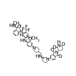 CNC(=O)c1ccccc1Nc1cc(Nc2ccc(N3CCC(CN[C@H]4CCCN(c5ccc6c(c5)C(=O)N(C5CCC(=O)NC5=O)C6=O)C4)CC3)cc2OC)ncc1C(F)(F)F